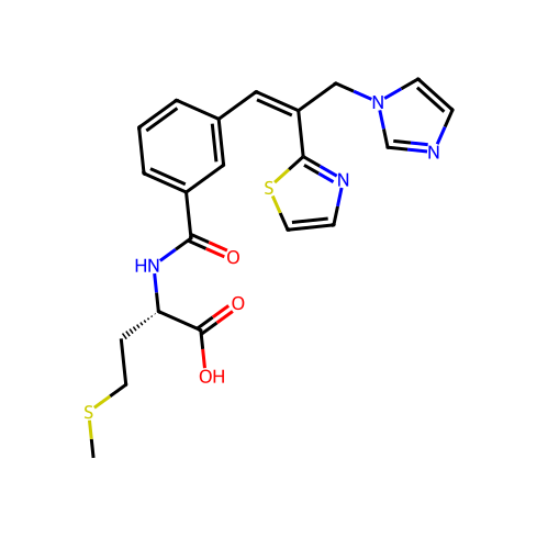 CSCC[C@H](NC(=O)c1cccc(/C=C(/Cn2ccnc2)c2nccs2)c1)C(=O)O